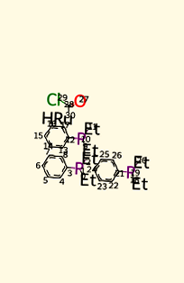 CCP(CC)c1ccccc1.CCP(CC)c1ccccc1.CCP(CC)c1ccccc1.O=[C](Cl)[RuH]